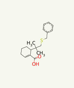 CC(C)(CSCc1ccccc1)C1CCCC=C1C(=O)O